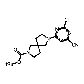 CC(C)(C)OC(=O)N1CCC2(CCN(c3cc(C#N)nc(Cl)n3)C2)C1